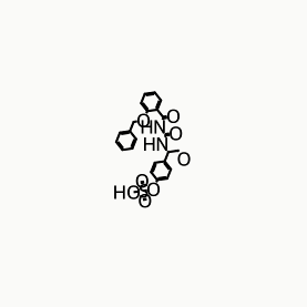 O=CC(NC(=O)NC(=O)c1ccccc1OCc1ccccc1)c1ccc(OS(=O)(=O)O)cc1